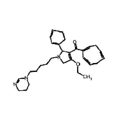 CCOC1=C(C(=O)C2=C/C/C=C\C/C=C\2)C(C2=CC=CCC2)N(CCCCCN2C=NCCC2)C1